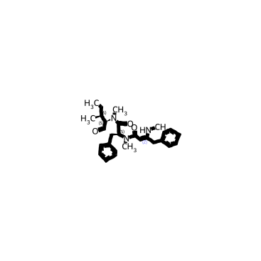 CC[C@H](C)[C@@H](C=O)N(C)C(=O)[C@H](Cc1ccccc1)N(C)C(=O)/C=C(/Cc1ccccc1)NC